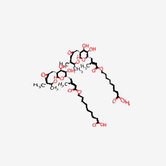 C/C(=C\C(=O)OCCCCCCCCC(=O)O)C[C@@H]1OC[C@H](C[C@@H]2O[C@H]2[C@@H](C)[C@H](C)O)[C@@H](O)[C@H]1O.C/C(=C\C(=O)OCCCCCCCCC(=O)O)C[C@@H]1OC[C@H](C[C@@H]2O[C@H]2[C@@H](C)[C@H](C)O)[C@@H](O)[C@H]1O